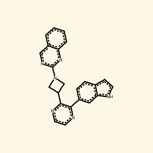 c1ccc2nc(N3CC(c4nccnc4-c4ccc5cc[nH]c5c4)C3)ncc2c1